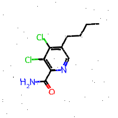 CCCCc1cnc(C(N)=O)c(Cl)c1Cl